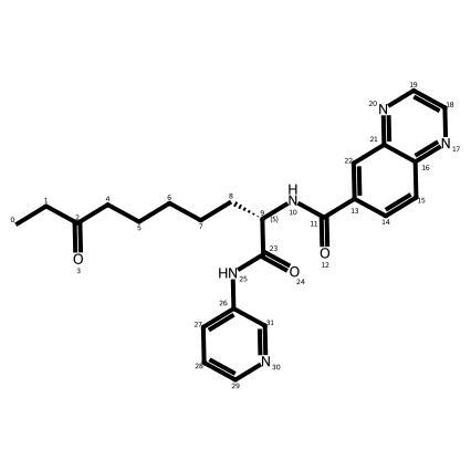 CCC(=O)CCCCC[C@H](NC(=O)c1ccc2nccnc2c1)C(=O)Nc1cccnc1